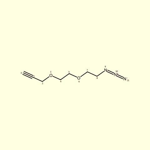 C#CCOCCOCCN=[N+]=[N-]